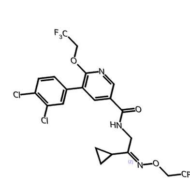 O=C(NC/C(=N\OCC(F)(F)F)C1CC1)c1cnc(OCC(F)(F)F)c(-c2ccc(Cl)c(Cl)c2)c1